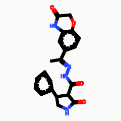 C/C(=N\NC(=O)C1C(=O)NCC1c1ccccc1)c1ccc2c(c1)NC(=O)CO2